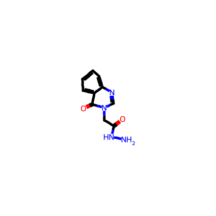 NNC(=O)Cn1cnc2ccccc2c1=O